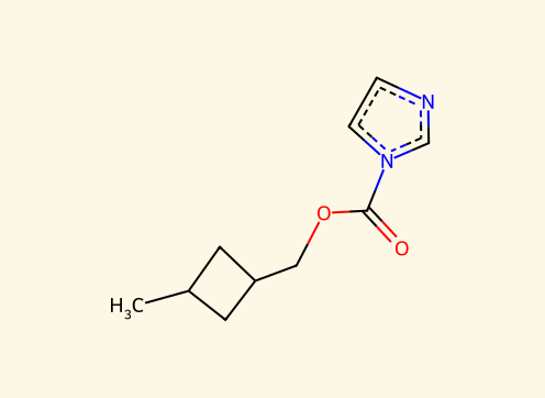 CC1CC(COC(=O)n2ccnc2)C1